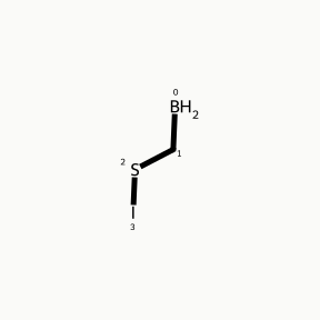 BCSI